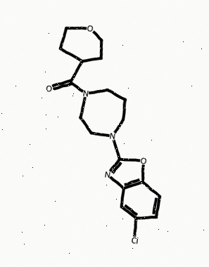 O=C(C1CCOCC1)N1CCCN(c2nc3cc(Cl)ccc3o2)CC1